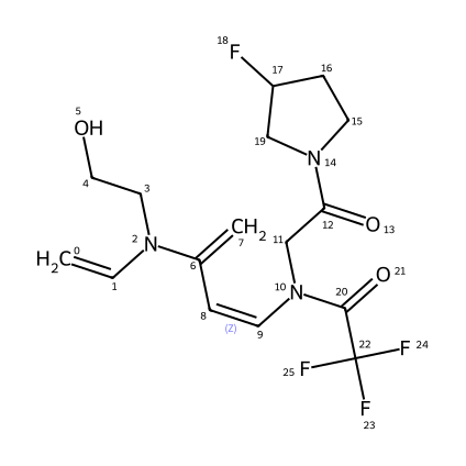 C=CN(CCO)C(=C)/C=C\N(CC(=O)N1CCC(F)C1)C(=O)C(F)(F)F